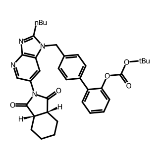 CCCCc1nc2ncc(N3C(=O)[C@H]4CCCC[C@H]4C3=O)cc2n1Cc1ccc(-c2ccccc2OC(=O)OC(C)(C)C)cc1